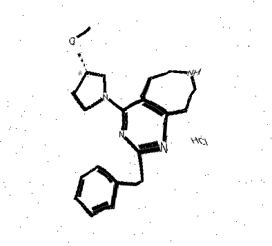 CO[C@H]1CCN(c2nc(Cc3ccccc3)nc3c2CCNCC3)C1.Cl